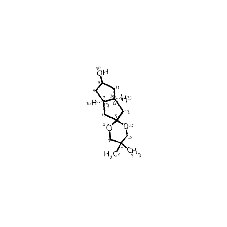 CC1(C)COC2(C[C@H]3CC(O)C[C@H]3C2)OC1